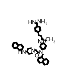 Cn1c(CCc2ccc(C(=N)N)cc2)nc2cc(N(Cc3cccc4ccccc34)C(=O)CN3CCC(Nc4ccc5ccccc5c4)CC3)ccc21